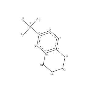 CC(C)(C)c1ccc2c(c1)CCCC2